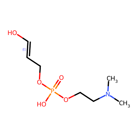 CN(C)CCOP(=O)(O)OC/C=C/O